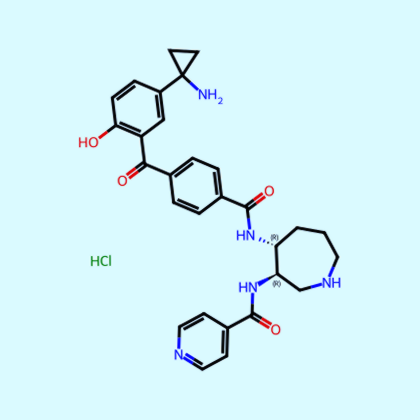 Cl.NC1(c2ccc(O)c(C(=O)c3ccc(C(=O)N[C@@H]4CCCNC[C@H]4NC(=O)c4ccncc4)cc3)c2)CC1